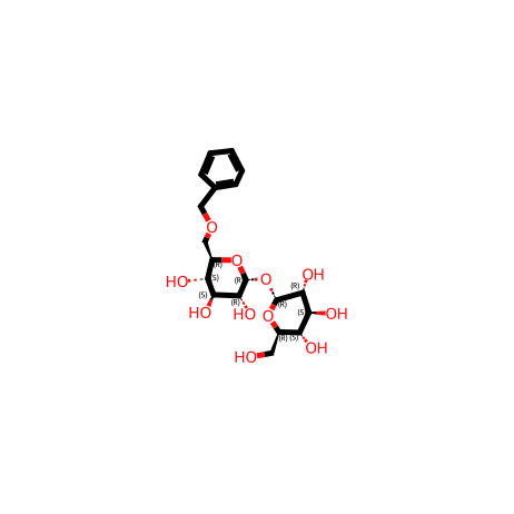 OC[C@H]1O[C@H](O[C@H]2O[C@H](COCc3ccccc3)[C@@H](O)[C@H](O)[C@H]2O)[C@H](O)[C@@H](O)[C@@H]1O